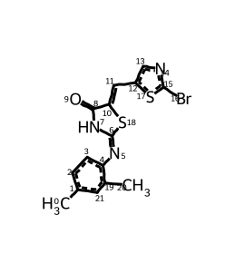 Cc1ccc(N=C2NC(=O)C(=Cc3cnc(Br)s3)S2)c(C)c1